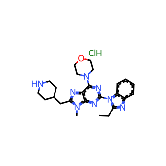 CCc1nc2ccccc2n1-c1nc(N2CCOCC2)c2nc(CC3CCNCC3)n(C)c2n1.Cl